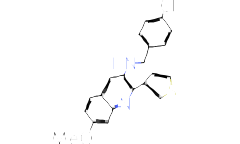 COc1ccc2cc(NCc3ccc(C(F)(F)F)cc3)c(-c3ccsc3)nc2c1